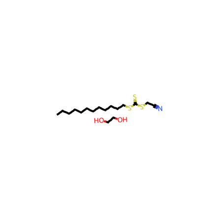 CCCCCCCCCCCCSC(=S)SCC#N.OCCO